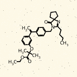 C=C(c1ccc(CN2C(=O)C3(CCCC3)N=C2CCCC)cc1)c1cccc(OC(C)(C)C(=O)OCC)c1